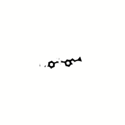 CC(C)Oc1ccc(-c2noc(-c3ccc4oc(C5CC5)cc4c3)n2)cc1I